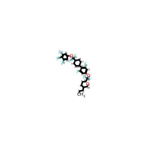 CCCC1CCC(C(F)(F)Oc2cc(F)c(C3CCC(C(F)(F)Oc4cc(F)c(F)c(F)c4)CC3)c(F)c2)OC1